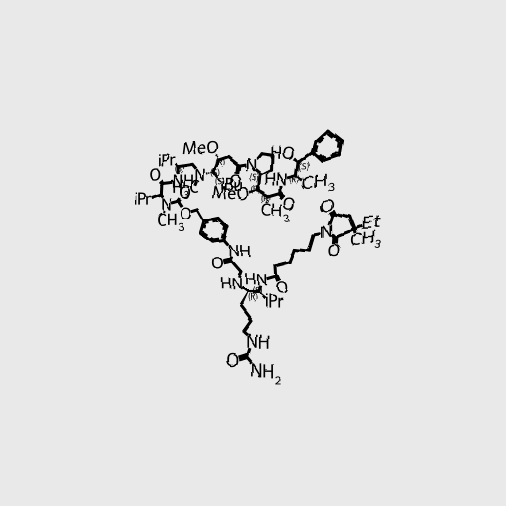 CC[C@H](C)[C@@H]([C@@H](CC(=O)N1CCC[C@H]1[C@H](OC)[C@@H](C)C(=O)N[C@H](C)[C@@H](O)c1ccccc1)OC)N(C)C[C@@H](NC(=O)C(C(C)C)N(C)C(=O)OCc1ccc(NC(=O)CN[C@H](CCCNC(N)=O)[C@@H](NC(=O)CCCCCN2C(=O)CC(C)(CC)C2=O)C(C)C)cc1)C(C)C